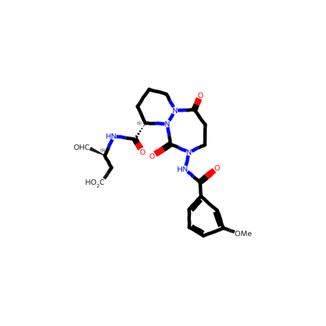 COc1cccc(C(=O)NN2CCC(=O)N3CCC[C@@H](C(=O)N[C@H](C=O)CC(=O)O)N3C2=O)c1